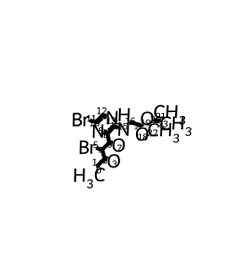 CCC(=O)C(Br)C(=O)c1nc(Br)cnc1NCC(=O)OC(C)(C)C